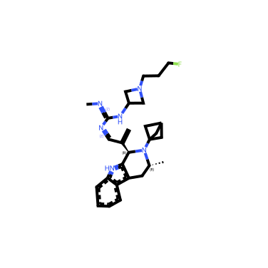 C=C(/C=N\C(=N/C)NC1CN(CCCF)C1)[C@@H]1c2[nH]c3ccccc3c2C[C@@H](C)N1C12CC(C1)C2